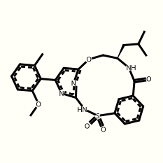 COc1cccc(C)c1-c1cc2nc(n1)NS(=O)(=O)c1cccc(c1)C(=O)N[C@H](CC(C)C)CO2